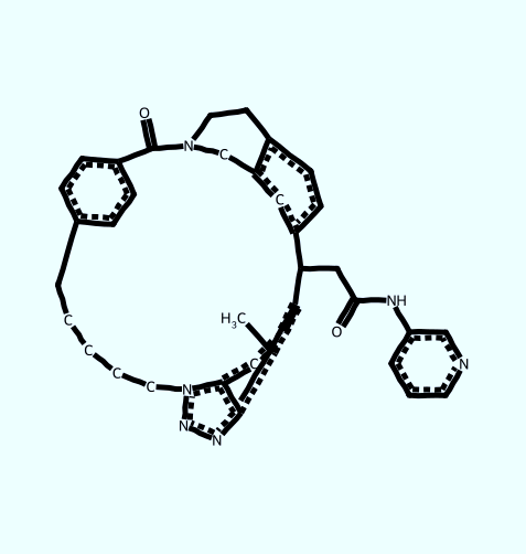 Cc1c2ccc3c1nnn3CCCCCc1ccc(cc1)C(=O)N1CCc3ccc(cc3C1)C2CC(=O)Nc1cccnc1